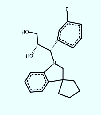 OC[C@@H](O)[C@H](c1cccc(F)c1)N1CC2(CCCC2)c2ccccc21